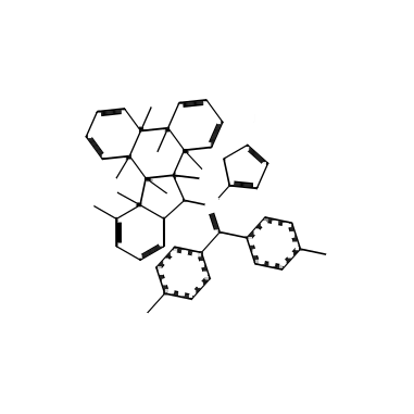 CC1=CC=CC2[CH]([Ti+2]([C]3=CC=CC3)=[C](c3ccc(C)cc3)c3ccc(C)cc3)C3(C)C4(C)C=CC=CC4(C)C4(C)C=CC=CC4(C)C3(C)C12C.[Cl-].[Cl-]